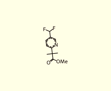 COC(=O)C(C)(C)c1ccc(C(F)F)cn1